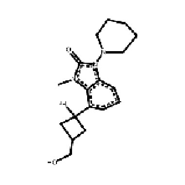 [2H]C1(c2cccc3c2n(C)c(=O)n3N2CCCCC2)CC(CO)C1